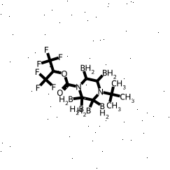 BC1C(B)N(C(C)(C)C)C(B)(B)C(B)(B)N1C(=O)OC(C(F)(F)F)C(F)(F)F